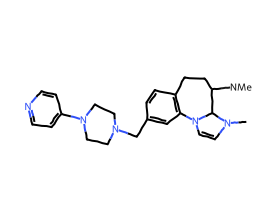 CNC1CCc2ccc(CN3CCN(c4ccncc4)CC3)cc2N2C=CN(C)C12